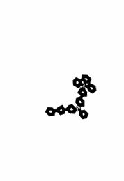 c1ccc(-c2ccc(-c3ccc(N(c4ccccc4)c4ccc(-c5ccc([Si](c6ccccc6)(c6ccccc6)c6ccccc6)cc5)cc4)cc3)cc2)cc1